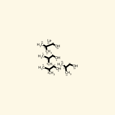 CC(C)CO.CC(C)CO.CC(C)CO.CC(C)CO.[La]